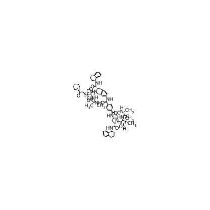 CN[C@@H](C)C(=O)NC(C(=O)N1C[C@@H](NC(=O)c2ccc(C(=O)Nc3ccc4c(c3)CN(C(=O)C(NC(=O)[C@H](C)NC)C(C)(C)SCC(=O)N3CCCCC3)[C@H](C(=O)N[C@@H]3CCCc5ccccc53)C4)cc2)C[C@H]1C(=O)N[C@@H]1CCCc2ccccc21)C(C)(C)C